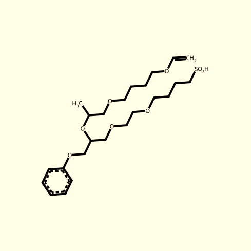 C=COCCCCOCC(C)OC(COCCOCCCCS(=O)(=O)O)COc1ccccc1